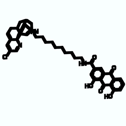 CC1=CC2C3CC=C4C=C(Cl)C=NC42C=C(NCCCCCCCCCCNC(=O)c2cc(O)c4c(c2)C(=O)c2cccc(O)c2C4=O)C(C1)C3